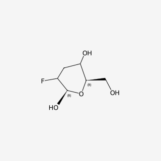 OC[C@H]1O[C@@H](O)C(F)CC1O